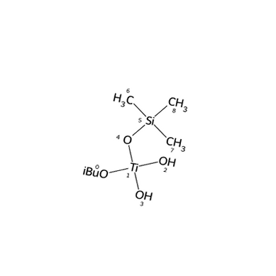 CC(C)C[O][Ti]([OH])([OH])[O][Si](C)(C)C